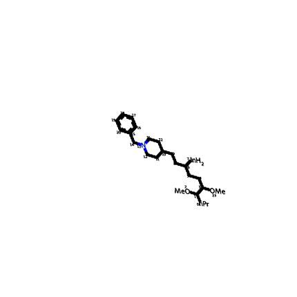 CCCC(OC)C(CC[CH]([InH2])CCC1CCN(Cc2ccccc2)CC1)OC